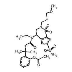 CCN(C(=O)CC(C)(C)c1ccccc1OC(C)=O)[C@H]1CN(CCCOC)S(=O)(=O)c2sc(S(N)(=O)=O)cc21